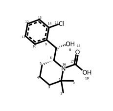 CC1(C)CCC[C@H]([C@@H](O)c2ccccc2Cl)N1C(=O)O